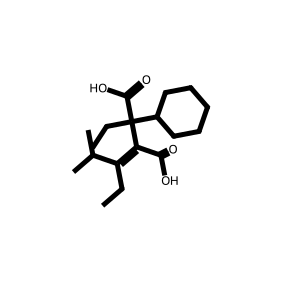 CCC(=C(C(=O)O)C(CC)(C(=O)O)C1CCCCC1)C(C)C